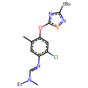 CCN(C)C=Nc1cc(C)c(Oc2nc(C(C)(C)C)ns2)cc1Cl